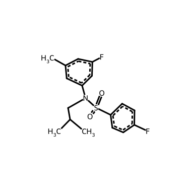 Cc1cc(F)cc(N(CC(C)C)S(=O)(=O)c2ccc(F)cc2)c1